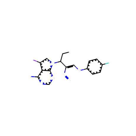 CCC(/C(=C/Nc1ccc(F)cc1)N=N)n1cc(I)c2c(N)ncnc21